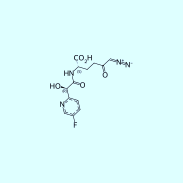 [N-]=[N+]=CC(=O)CC[C@H](NC(=O)[C@H](O)c1ccc(F)cn1)C(=O)O